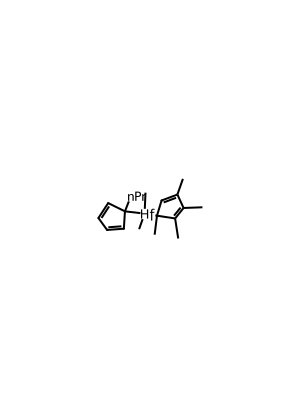 CCC[C]1([Hf]([CH3])([CH3])[C]2(C)C=C(C)C(C)=C2C)C=CC=C1